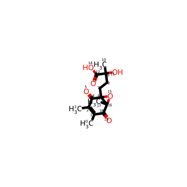 CC1=C(C)C(=O)C2(CCC(C)(O)C(=O)O)OC2(C)C1=O